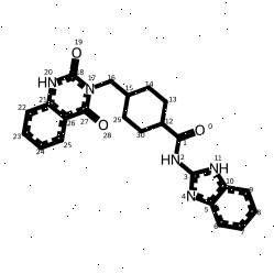 O=C(Nc1nc2ccccc2[nH]1)C1CCC(Cn2c(=O)[nH]c3ccccc3c2=O)CC1